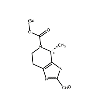 C[C@@H]1c2sc(C=O)nc2CCN1C(=O)OC(C)(C)C